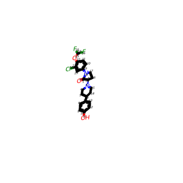 O=C1[C@H](N2CCC(c3ccc(O)cc3)CC2)CCN1c1ccc(OC(F)F)c(Cl)c1